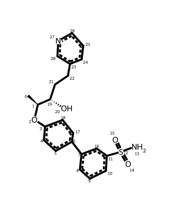 C[C@H](Oc1ccc(-c2cccc(S(N)(=O)=O)c2)cc1)[C@@H](O)CCc1cccnc1